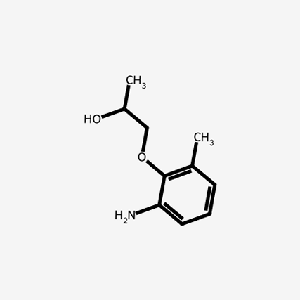 Cc1cccc(N)c1OCC(C)O